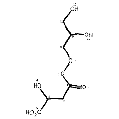 O=C(CC(O)C(=O)O)OOCC(O)CO